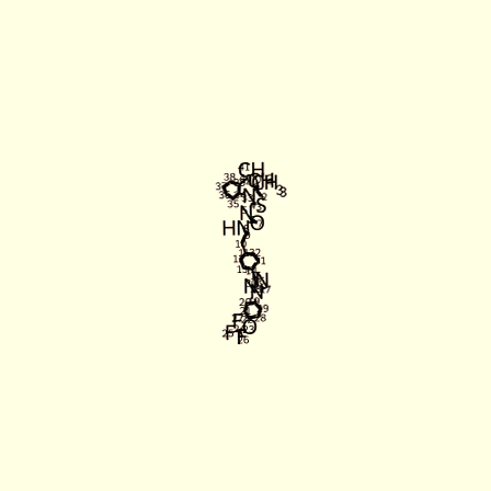 Cc1cs/c(=N\C(=O)N/C=C/c2ccc(-c3ncn(-c4ccc(OC(F)(F)F)cc4)n3)cc2)n1-c1ccccc1C(C)C